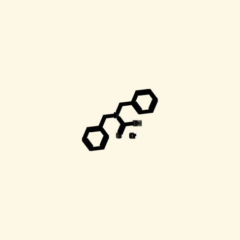 O=C(O)N(Cc1ccccc1)Cc1ccccc1.[Cr]